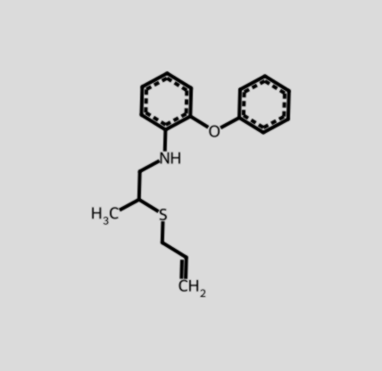 C=CCSC(C)CNc1ccccc1Oc1ccccc1